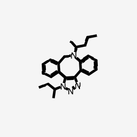 CCCC(C)N1Cc2ccccc2-c2c(nnn2C(C)CC)-c2ccccc21